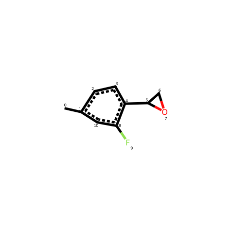 Cc1ccc(C2CO2)c(F)c1